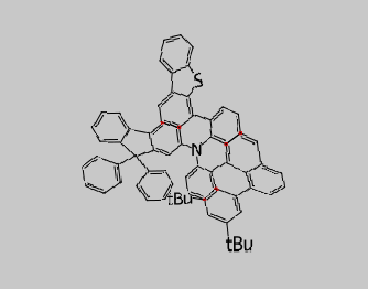 CC(C)(C)c1cc(-c2cccc3cccc(-c4ccccc4N(c4ccc5c(c4)C(c4ccccc4)(c4ccccc4)c4ccccc4-5)c4ccccc4-c4cccc5c4sc4ccccc45)c23)cc(C(C)(C)C)c1